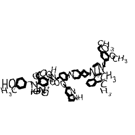 COc1cc(CN2CCN(C3CC4(CCN(c5ccc(C(=O)NS(=O)(=O)c6cc([N+](=O)[O-])c(NC[C@H]7CC[C@](C)(O)CC7)c7c6OCO7)c(Oc6cnc7[nH]ccc7c6)c5)CC4)C3)[C@H](c3ccccc3C(C)C)C2)cc2cc(C)oc12